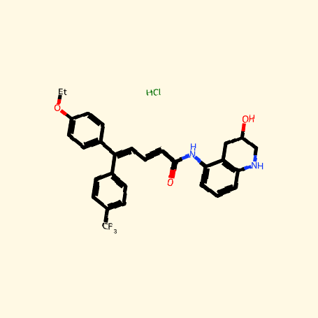 CCOc1ccc(/C(=C/C=C/C(=O)Nc2cccc3c2CC(O)CN3)c2ccc(C(F)(F)F)cc2)cc1.Cl